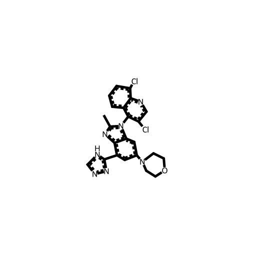 Cc1nc2c(-c3nnc[nH]3)cc(N3CCOCC3)cc2n1-c1c(Cl)cnc2c(Cl)cccc12